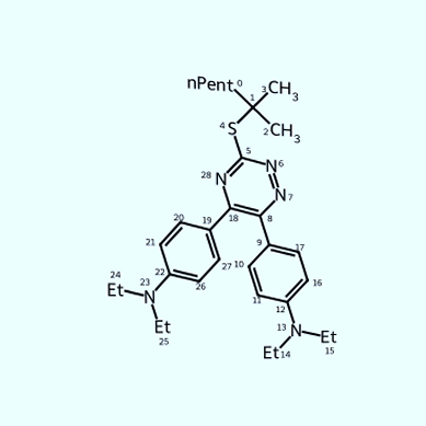 CCCCCC(C)(C)Sc1nnc(-c2ccc(N(CC)CC)cc2)c(-c2ccc(N(CC)CC)cc2)n1